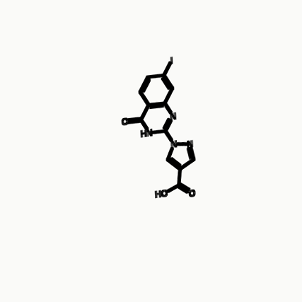 O=C(O)c1cnn(-c2nc3cc(I)ccc3c(=O)[nH]2)c1